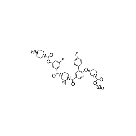 C[C@H]1CN(C(=O)c2cc(F)cc(OC(=O)N3CCNCC3)c2)CCN1C(=O)c1ccc(O[C@H]2CCN(C(=O)OC(C)(C)C)C2)c(-c2ccc(F)cc2)c1